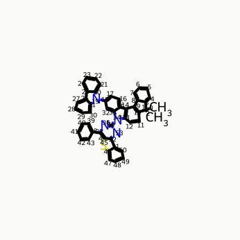 CC1(C)c2ccccc2-c2c1ccc1c2c2ccc(-n3c4ccccc4c4ccccc43)cc2n1-c1nc(-c2ccccc2)c2sc3ccccc3c2n1